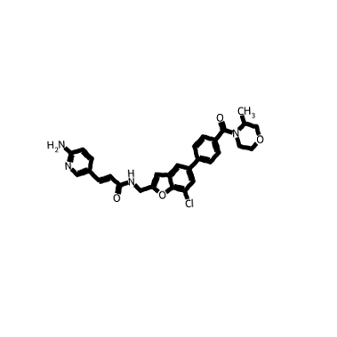 CC1COCCN1C(=O)c1ccc(-c2cc(Cl)c3oc(CNC(=O)/C=C/c4ccc(N)nc4)cc3c2)cc1